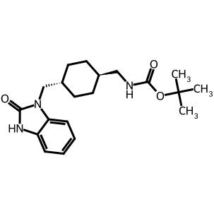 CC(C)(C)OC(=O)NC[C@H]1CC[C@H](Cn2c(=O)[nH]c3ccccc32)CC1